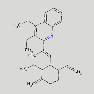 C=CC1CCC(=C)C(CC)C1/C=C(\C)c1nc2ccccc2c(CC)c1CC